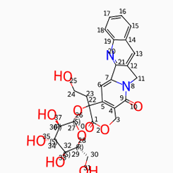 O=C1OCc2c(cc3n(c2=O)Cc2cc4ccccc4nc2-3)C1(CCO)O[C@@H]1O[C@H](CO)[C@@H](O)[C@H](O)[C@H]1O